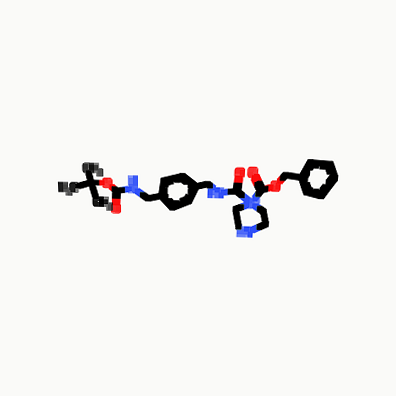 CC(C)(C)OC(=O)NCc1ccc(CNC(=O)[N+]2(C(=O)OCc3ccccc3)CCNCC2)cc1